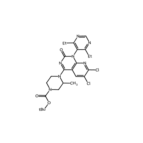 CCc1ncnc(CC)c1-n1c(=O)nc(N2CCN(C(=O)OC(C)(C)C)CC2C)c2cc(Cl)c(Cl)nc21